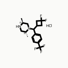 C[C@@H]1CN[C@@H](C)CN1C(c1ccc(C(F)(F)F)cc1)C1CC(F)(F)C1.Cl